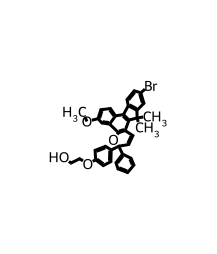 COc1ccc2c3c(c4c(c2c1)OC(c1ccccc1)(c1ccc(OCCO)cc1)C=C4)C(C)(C)c1cc(Br)ccc1-3